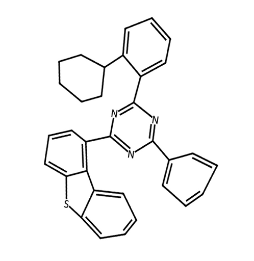 c1ccc(-c2nc(-c3ccccc3C3CCCCC3)nc(-c3cccc4sc5ccccc5c34)n2)cc1